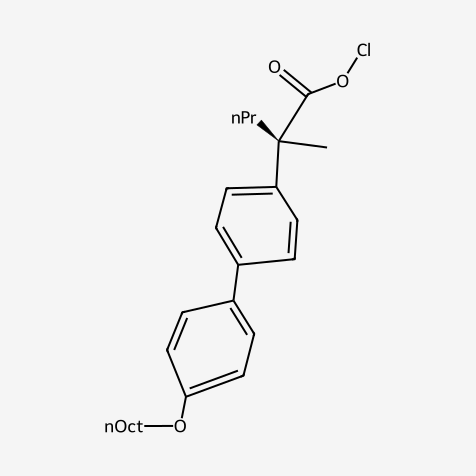 CCCCCCCCOc1ccc(-c2ccc([C@](C)(CCC)C(=O)OCl)cc2)cc1